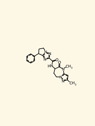 Cc1cc2n(n1)CCC(NC(=O)c1nc3n(n1)CCC3c1ccccc1)C(=O)N2C